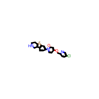 O=c1cc(OCc2ccc(Cl)cn2)ccn1-c1ccc2c3c(sc2c1)CCNC3